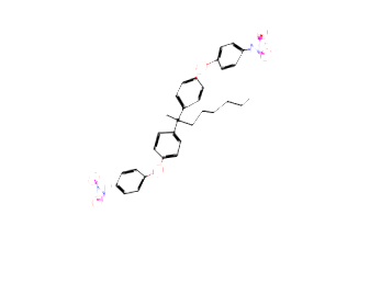 CCCCCCC(C)(c1ccc(Oc2ccc([N+](=O)[O-])cc2)cc1)c1ccc(Oc2ccc([N+](=O)[O-])cc2)cc1